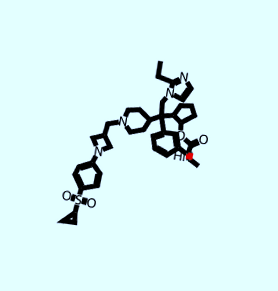 CCc1nccn1CC(c1cccc(F)c1)(C1CCN(CC2CN(c3ccc(S(=O)(=O)C4CC4)cc3)C2)CC1)C1CCCC1OC(=O)NC